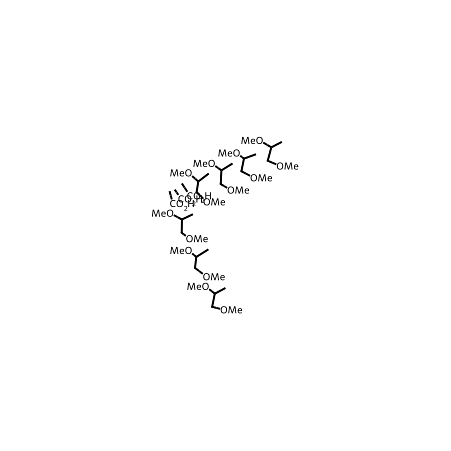 CC(=O)O.CC(=O)O.CC(=O)O.COCC(C)OC.COCC(C)OC.COCC(C)OC.COCC(C)OC.COCC(C)OC.COCC(C)OC.COCC(C)OC